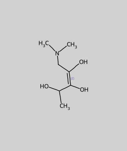 CC(O)/C(O)=C(/O)CN(C)C